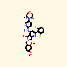 COc1ccc(CN2Cc3nc(-c4c(F)cccc4F)cc(Nc4ccc(N5[C@@H](C)COC[C@@H]5C)cn4)c3C2=O)c(OC)c1